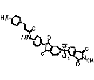 Cc1ccc(/C=C/C(=O)Nc2ccc(N3C(=O)c4ccc(C(c5ccc6c(c5)C(=O)N(C)C6=O)(C(F)(F)F)C(F)(F)F)cc4C3=O)cc2)cc1